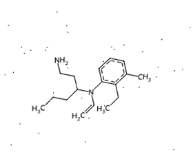 C=CN(c1cccc(C)c1CC)C(CCC)CCN